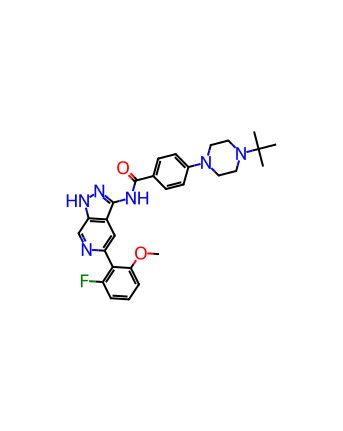 COc1cccc(F)c1-c1cc2c(NC(=O)c3ccc(N4CCN(C(C)(C)C)CC4)cc3)n[nH]c2cn1